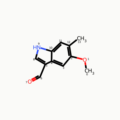 COc1cc2c(C=O)c[nH]c2cc1C